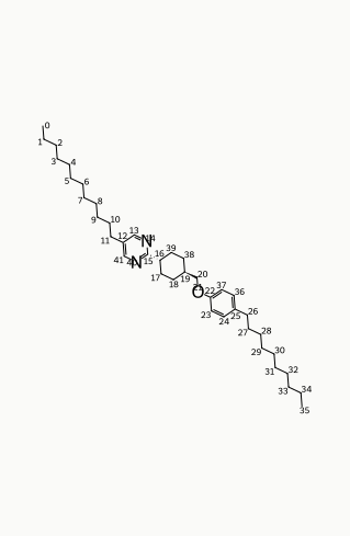 CCCCCCCCCCCCc1cnc([C@H]2CC[C@H](COc3ccc(CCCCCCCCCC)cc3)CC2)nc1